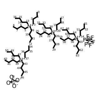 CCCC[N+](CCCC)(CCCC)CCCC.CCCC[N+](CCCC)(CCCC)CCCC.CCCC[N+](CCCC)(CCCC)CCCC.CCCC[N+](CCCC)(CCCC)CCCC.F[P-](F)(F)(F)(F)F.O=P([O-])([O-])[O-]